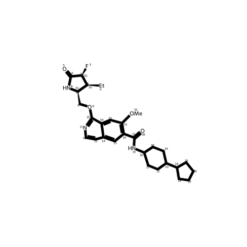 CC[C@@H]1[C@H](F)C(=O)N[C@@H]1COc1nccc2cc(C(=O)NC3CCC(C4CCCC4)CC3)c(OC)cc12